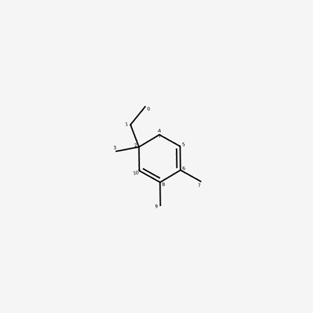 CCC1(C)[CH]C=C(C)C(C)=C1